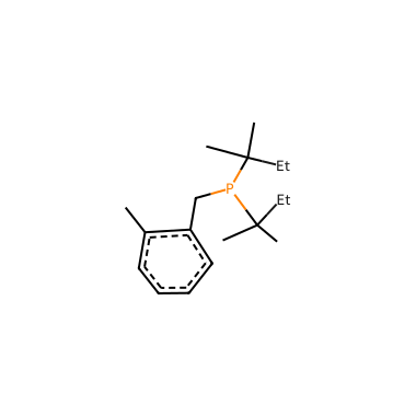 CCC(C)(C)P(Cc1ccccc1C)C(C)(C)CC